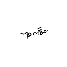 CCCCCCOc1ccc(C2CCC(CCc3ccc(-c4ccc(C)cc4)c(F)c3F)CC2)cc1F